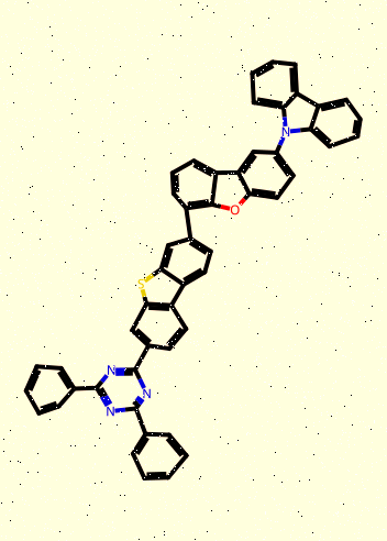 c1ccc(-c2nc(-c3ccccc3)nc(-c3ccc4c(c3)sc3cc(-c5cccc6c5oc5ccc(-n7c8ccccc8c8ccccc87)cc56)ccc34)n2)cc1